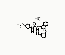 Cl.NC1CCC(NC(=O)C(N)Cc2cn(CC3CCCCC3)c3ccccc23)CC1